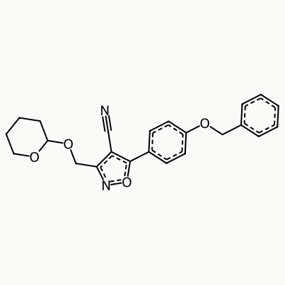 N#Cc1c(COC2CCCCO2)noc1-c1ccc(OCc2ccccc2)cc1